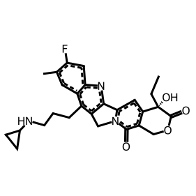 CC[C@@]1(O)C(=O)OCc2c1cc1n(c2=O)Cc2c-1nc1cc(F)c(C)cc1c2CCCNC1CC1